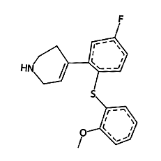 COc1ccccc1Sc1ccc(F)cc1C1=CCNCC1